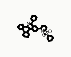 O=S(=O)(c1ccccc1)c1cccc(-c2ccc3c(c2)c(-c2ccccc2)nc2c4ccccc4c4ccccc4c32)n1